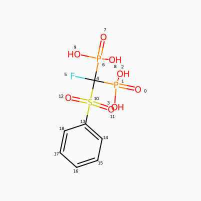 O=P(O)(O)C(F)(P(=O)(O)O)S(=O)(=O)c1ccccc1